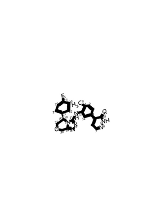 Cc1ccc(-c2ccn[nH]c2=O)cc1Nc1nnc2n1[C@H](c1ccc(F)cc1)COC2